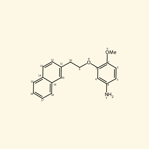 COc1ccc(N)cc1OCCc1ccc2ccccc2c1